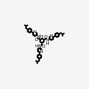 CC(C)Cc1ccc(-c2ccc(NC(=O)C3CC(C(=O)Nc4ccc(-c5ccc(CC(C)C)cc5)nc4)CC(C(=O)Nc4ccc(-c5ccc(CC(C)C)cc5)nc4)C3)cn2)cc1